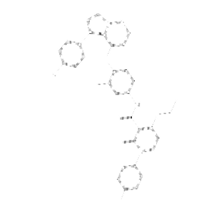 CCOc1ccn(-c2ccc(F)cc2)c(=O)c1C(=O)Nc1ccc(Oc2ccnn3ccc(-c4ccc(N)cc4)c23)c(F)c1